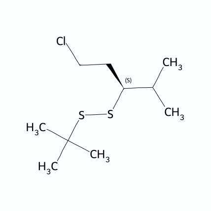 CC(C)[C@H](CCCl)SSC(C)(C)C